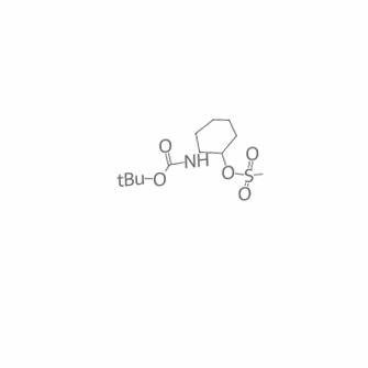 CC(C)(C)OC(=O)N[C@@H]1CCCCC1OS(C)(=O)=O